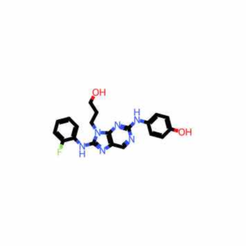 OCCCn1c(Nc2ccccc2F)nc2cnc(Nc3ccc(O)cc3)nc21